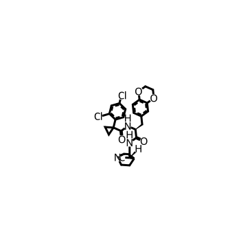 O=C(N[C@H]1CN2CCC1CC2)[C@H](Cc1ccc2c(c1)OCCO2)NC(=O)C1(c2ccc(Cl)cc2Cl)CC1